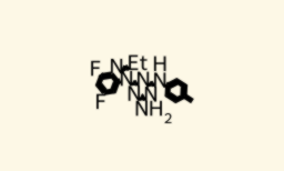 CCc1nc2c(F)cc(F)cc2n1-c1nc(N)nc(Nc2ccc(C)cc2)n1